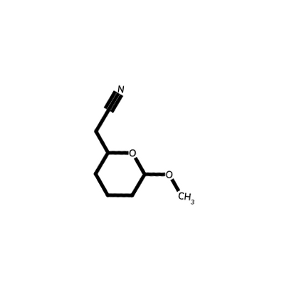 COC1CCCC(CC#N)O1